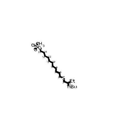 CCCCC(CC)CSCCCCCCCCCCCOS(C)(=O)=O